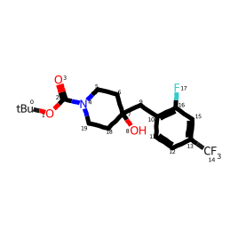 CC(C)(C)OC(=O)N1CCC(O)(Cc2ccc(C(F)(F)F)cc2F)CC1